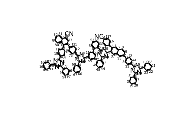 N#Cc1ccc(-c2cc3ccc(-c4ccc(-c5nc(-c6ccccc6)nc(-c6ccccc6)n5)cc4)cc3cc2-c2nc(-c3ccccc3)nc(-c3ccccc3-c3cccc(-c4nc(-c5ccccc5)nc(-c5ccc(-c6cc(C#N)c7ccccc7c6-c6ccc(-c7nc(-c8ccccc8)nc(-c8ccccc8)n7)cc6)cc5)n4)c3)n2)cc1